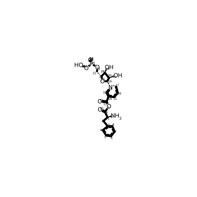 N[C@@H](Cc1ccccc1)C(=O)OC(=O)c1ccc[n+]([C@@H]2O[C@H](CO[PH](=O)OO)[C@@H](O)[C@H]2O)c1